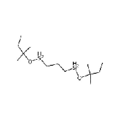 CCC(C)(C)O[SiH2]CCC[SiH2]OC(C)(C)CC